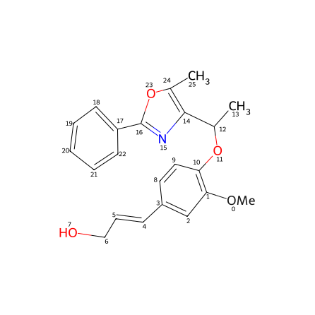 COc1cc(/C=C/CO)ccc1OC(C)c1nc(-c2ccccc2)oc1C